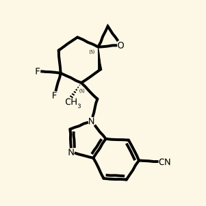 C[C@@]1(Cn2cnc3ccc(C#N)cc32)C[C@@]2(CCC1(F)F)CO2